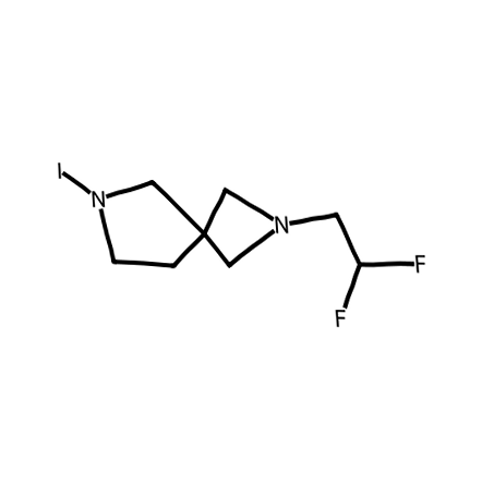 FC(F)CN1CC2(CCN(I)C2)C1